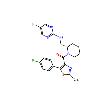 Cc1nc(C(=O)N2CCCC[C@H]2CNc2ncc(Br)cn2)c(-c2ccc(F)cc2)s1